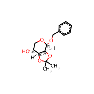 CC1(C)O[C@@H]2[C@@H](OCc3ccccc3)OC[C@@H](O)[C@@H]2O1